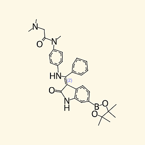 CN(C)CC(=O)N(C)c1ccc(N/C(=C2\C(=O)Nc3cc(B4OC(C)(C)C(C)(C)O4)ccc32)c2ccccc2)cc1